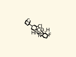 O=C(O)C1(Nc2nc3ccc(F)cc3s2)C=CC(c2ccccc2)C=C1Cl